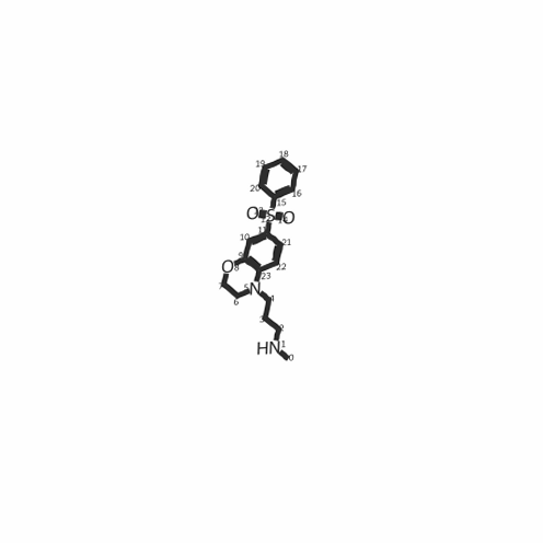 CNCCCN1CCOc2cc(S(=O)(=O)c3ccccc3)ccc21